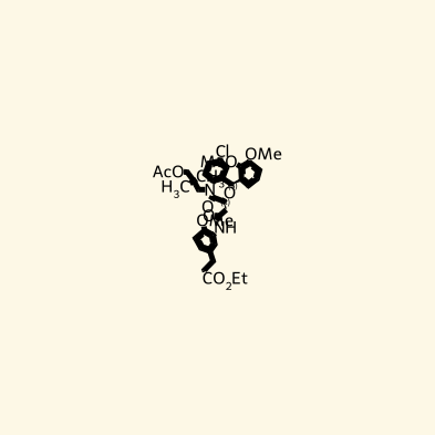 CCOC(=O)CCc1ccc(OC)c(NC(=O)C[C@H]2O[C@H](c3cccc(OC)c3OC)c3cc(Cl)ccc3N(CC(C)(C)COC(C)=O)C2=O)c1